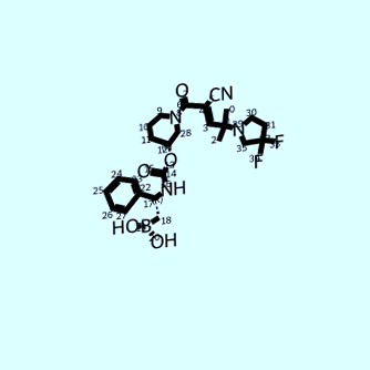 CC(C)(C=C(C#N)C(=O)N1CCC[C@@H](OC(=O)N[C@H](CB(O)O)c2ccccc2)C1)N1CCC(F)(F)C1